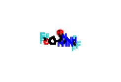 COCc1nc(NNC(F)=C(F)F)cnc1-c1ccc(OC(F)(F)F)cc1